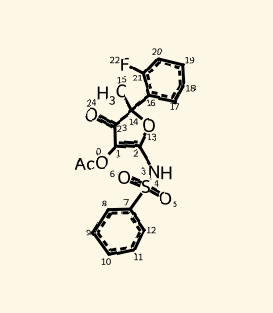 CC(=O)OC1=C(NS(=O)(=O)c2ccccc2)OC(C)(c2ccccc2F)C1=O